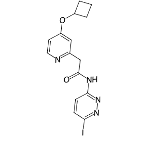 O=C(Cc1cc(OC2CCC2)ccn1)Nc1ccc(I)nn1